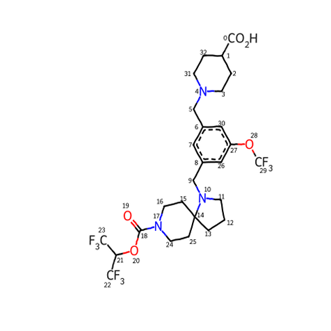 O=C(O)C1CCN(Cc2cc(CN3CCCC34CCN(C(=O)OC(C(F)(F)F)C(F)(F)F)CC4)cc(OC(F)(F)F)c2)CC1